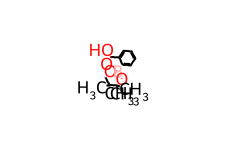 CC1(C)COB(c2ccccc2C(=O)O)OC1(C)C